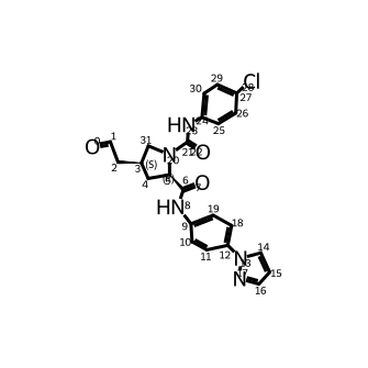 O=CC[C@@H]1C[C@H](C(=O)Nc2ccc(-n3cccn3)cc2)N(C(=O)Nc2ccc(Cl)cc2)C1